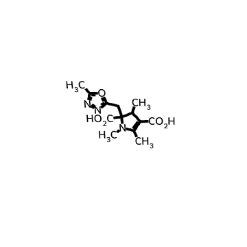 CC1=C(C(=O)O)C(C)C(Cc2nnc(C)o2)(C(=O)O)N1C